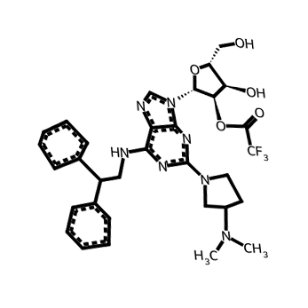 CN(C)C1CCN(c2nc(NCC(c3ccccc3)c3ccccc3)c3ncn([C@@H]4O[C@H](CO)[C@@H](O)[C@H]4OC(=O)C(F)(F)F)c3n2)C1